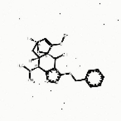 COC1=C[C@H]2C[C@H]3[C@H](N(C)C)c4onc(OCc5ccccc5)c4C(O)[C@@]13O2